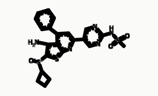 CS(=O)(=O)Nc1ncc(-c2cc(-c3ccccc3)c3c(N)c([S+]([O-])C4CCC4)sc3n2)cn1